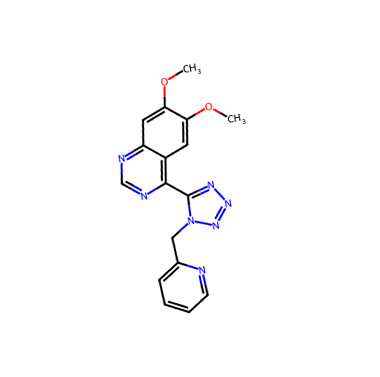 COc1cc2ncnc(-c3nnnn3Cc3ccccn3)c2cc1OC